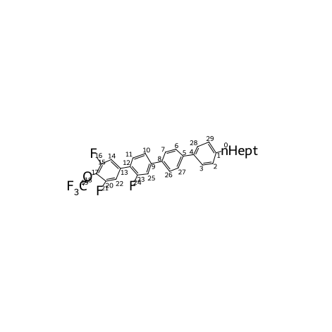 CCCCCCCc1ccc(-c2ccc(-c3ccc(-c4cc(F)c(OC(F)(F)F)c(F)c4)c(F)c3)cc2)cc1